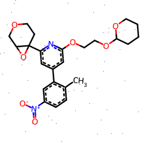 Cc1ccc([N+](=O)[O-])cc1-c1cc(OCCOC2CCCCO2)nc(C23CCOCC2O3)c1